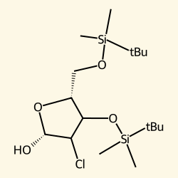 CC(C)(C)[Si](C)(C)OC[C@H]1O[C@@H](O)C(Cl)C1O[Si](C)(C)C(C)(C)C